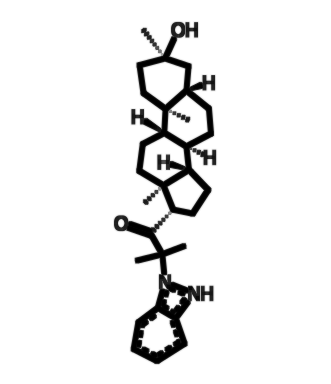 CC(C)(C(=O)[C@H]1CC[C@H]2[C@@H]3CC[C@H]4C[C@](C)(O)CC[C@]4(C)[C@H]3CC[C@]12C)n1[nH]c2ccccc21